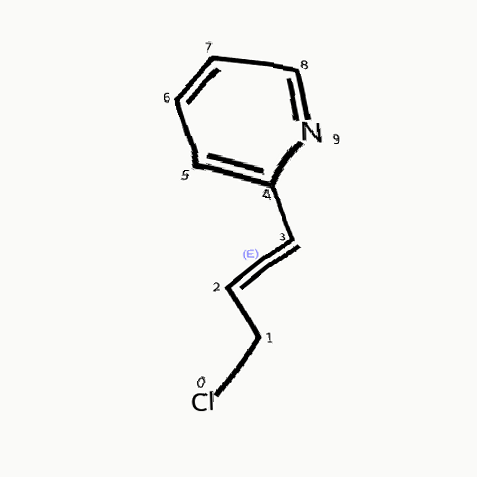 ClC/C=C/c1ccccn1